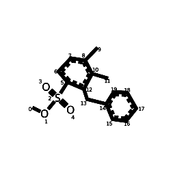 COS(=O)(=O)c1ccc(C)c(C)c1Cc1ccccc1